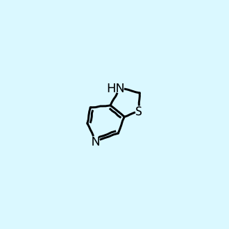 c1cc2c(cn1)SCN2